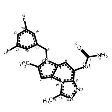 Cc1cc2c(cc(NC(N)=O)c3nnc(C)n32)n1Cc1cc(F)cc(F)c1